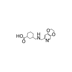 O=C(O)C1CCCC(CNCc2cc3c(cn2)OCCO3)C1